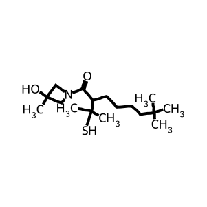 CC(C)(C)CCCCC(C(=O)N1CC(C)(O)C1)C(C)(C)S